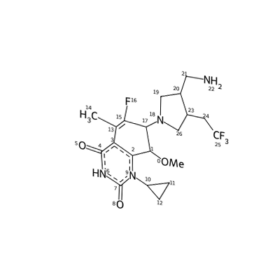 COC1c2c(c(=O)[nH]c(=O)n2C2CC2)C(C)=C(F)C1N1CC(CN)C(CC(F)(F)F)C1